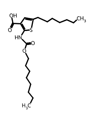 CCCCCCCCOC(=O)Nc1sc(CCCCCCC)cc1C(=O)O